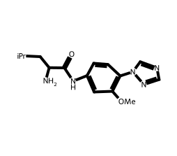 COc1cc(NC(=O)C(N)CC(C)C)ccc1-n1cncn1